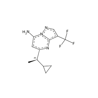 C[C@@H](c1cc(N)n2ncc(C(F)(F)F)c2n1)C1CC1